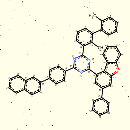 Cc1ccccc1-c1cccc(-c2nc(-c3ccc(-c4ccc5ccccc5c4)cc3)nc(-c3cc(-c4ccccc4)cc4oc5ccccc5c34)n2)c1C